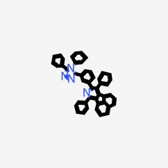 c1ccc(-c2nc(-c3cccc(-c4nnc(-c5ccccc5)n4-c4ccccc4)c3)c(-c3ccccc3)c3c2-c2cccc4cccc-3c24)cc1